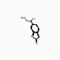 CC(=O)C(OC=O)c1ccc2c(c1)=NC(=O)C=2